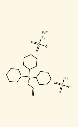 C=CC[PH](C1CCCCC1)(C1CCCCC1)C1CCCCC1.O=S(=O)([O-])C(F)(F)F.O=S(=O)([O-])C(F)(F)F.[Pd+2]